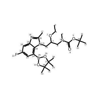 CCOC(CN(C)C(=O)OC(C)(C)C)Cn1c(C)nc2cc(F)cc(B3OC(C)(C)C(C)(C)O3)c21